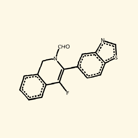 O=CN1Cc2ccccc2C(F)=C1c1ccc2scnc2c1